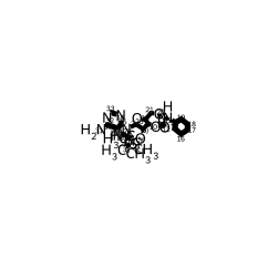 CC(C)(C)[Si](C)(C)O[C@H]1C2OP(=O)(Nc3ccccc3)OCC2OC1n1c(Br)nc2c(N)ncnc21